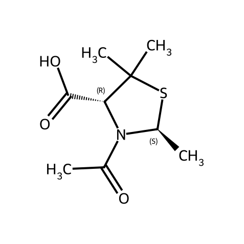 CC(=O)N1[C@H](C)SC(C)(C)[C@H]1C(=O)O